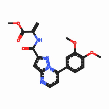 C=C(NC(=O)c1cc2nccc(-c3ccc(OC)c(OC)c3)n2n1)C(=O)OC